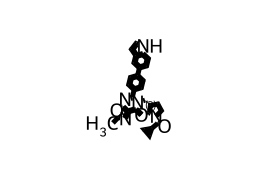 Cc1nc2c(=O)n(C[C@@H]3CCN(C(=O)C4CC4)C3)c(-c3ccc(-c4ccc5[nH]ccc5c4)cc3)nc2o1